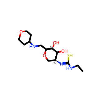 CCN/C(S)=N/[C@H]1COC(CNC2CCOCC2)[C@@H](O)C1O